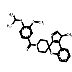 COc1cc(C(=O)N2CCC3(CC2)Oc2ccccc2C2=C3N=CC2C)ccc1SC(C)C